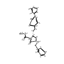 CC(C)(C)OC(=O)N1C(=O)[C@@H](OCc2ccccc2)C[C@H]1CCc1ccc(-c2ccccc2)cc1